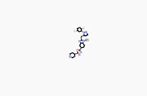 CCn1c(Cc2ccnn2-c2cc(F)ccc2F)nc2cc(-c3nnc(-c4ccncc4)o3)ccc21